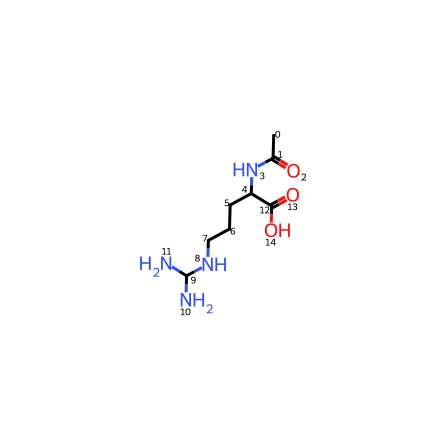 CC(=O)NC(CCCNC(N)N)C(=O)O